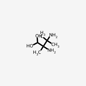 CC(C)(N)C(C)(N)C(O)O